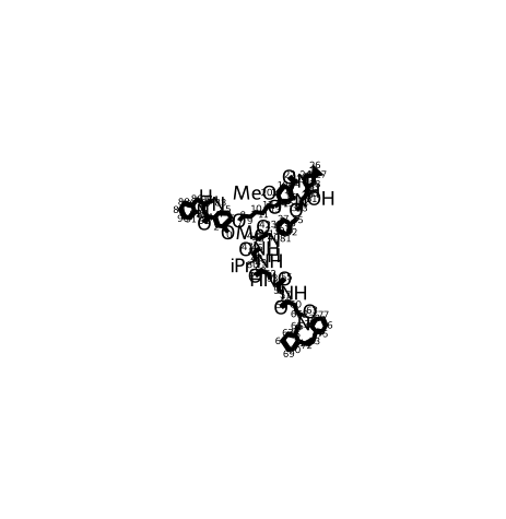 COc1cc2c(cc1OCCCCCOc1cc3c(cc1OC)C(=O)N1CC4(CC4)C[C@H]1C(O)N3COCc1ccc(NC(=O)[C@H](C)NC(=O)[C@@H](NC(=O)CNC(=O)CNC(=O)CCC(=O)N3Cc4ccccc4C#Cc4ccccc43)C(C)C)cc1)N=C[C@@H]1Cc3ccccc3N1C2=O